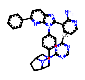 N#Cc1ncnc(N2CC3CCC(C2)N3Cc2ccc(-n3c(-c4cccnc4N)nc4ccc(-c5ccccc5)nc43)cc2)n1